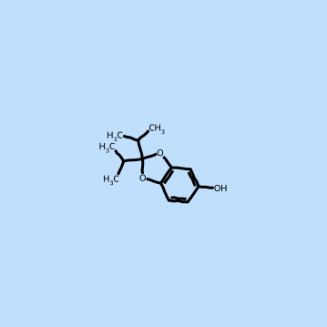 CC(C)C1(C(C)C)Oc2ccc(O)cc2O1